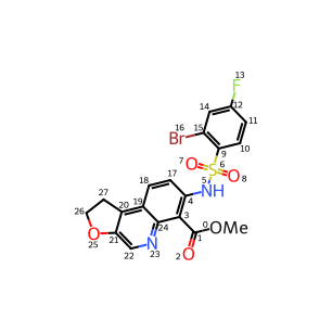 COC(=O)c1c(NS(=O)(=O)c2ccc(F)cc2Br)ccc2c3c(cnc12)OCC3